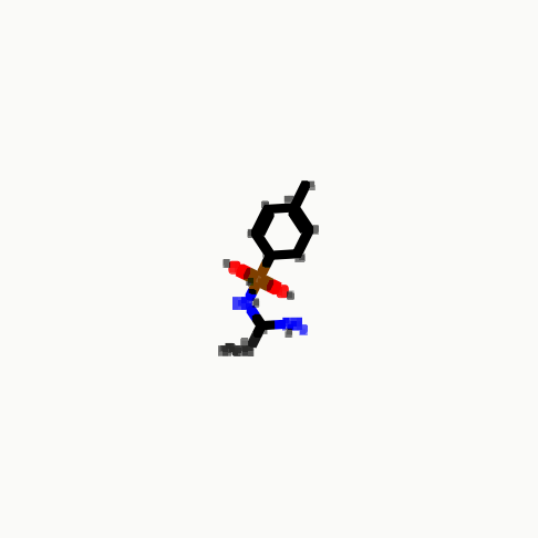 CCCCCC(N)NS(=O)(=O)C1C=CC(C)=CC1